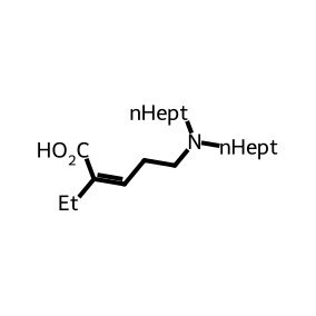 CCCCCCCN(CCC=C(CC)C(=O)O)CCCCCCC